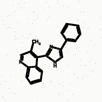 Cc1[c]nc2ccccc2c1-c1nc(-c2ccccc2)c[nH]1